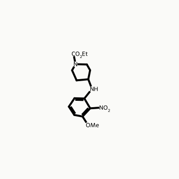 CCOC(=O)N1CCC(Nc2cccc(OC)c2[N+](=O)[O-])CC1